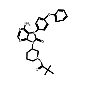 CC(C)(C)C(=O)ON1CCCC(n2c(=O)n(-c3ccc(Oc4ccccc4)cc3)c3c(N)ncnc32)C1